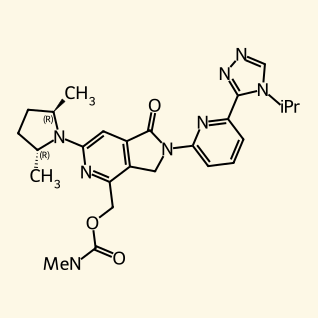 CNC(=O)OCc1nc(N2[C@H](C)CC[C@H]2C)cc2c1CN(c1cccc(-c3nncn3C(C)C)n1)C2=O